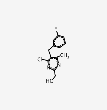 Cc1nc(CO)nc(Cl)c1Cc1cccc(F)c1